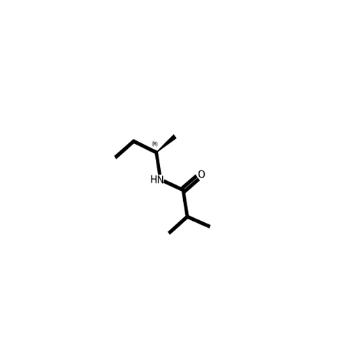 CC[C@@H](C)NC(=O)C(C)C